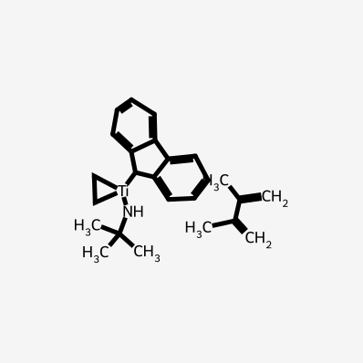 C=C(C)C(=C)C.CC(C)(C)[NH][Ti]1([CH]2c3ccccc3-c3ccccc32)[CH2][CH2]1